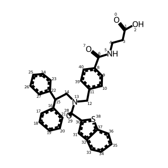 O=C(O)CCNC(=O)c1ccc(CN(CC(c2ccccc2)c2ccccc2)C(=O)c2cc3ccccc3s2)cc1